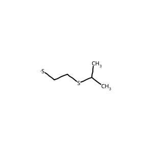 CC(C)SCC[S]